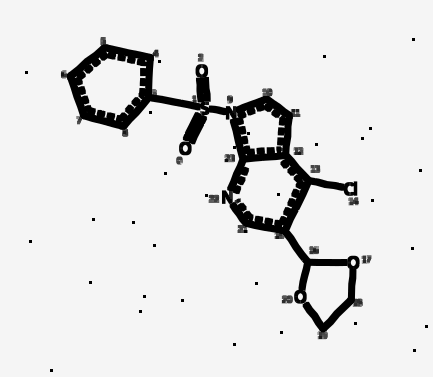 O=S(=O)(c1ccccc1)n1ccc2c(Cl)c(C3OCCO3)cnc21